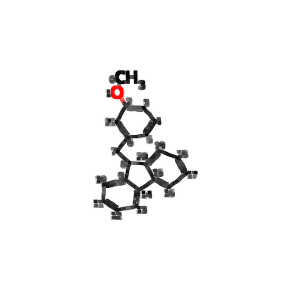 COc1cccc(CC2c3ccccc3-c3ccccc32)c1